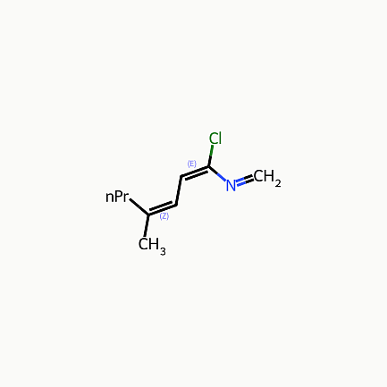 C=N/C(Cl)=C\C=C(\C)CCC